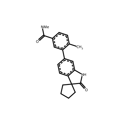 CNC(=O)c1ccc(C)c(-c2ccc3c(c2)NC(=O)C32CCCC2)c1